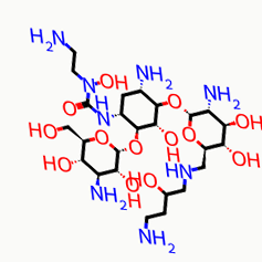 NCCC(O)CNC[C@H]1O[C@H](OC2[C@@H](N)C[C@@H](NC(=O)N(O)CCN)[C@H](O[C@H]3O[C@H](CO)[C@@H](O)[C@H](N)[C@H]3O)[C@H]2O)[C@H](N)[C@@H](O)[C@@H]1O